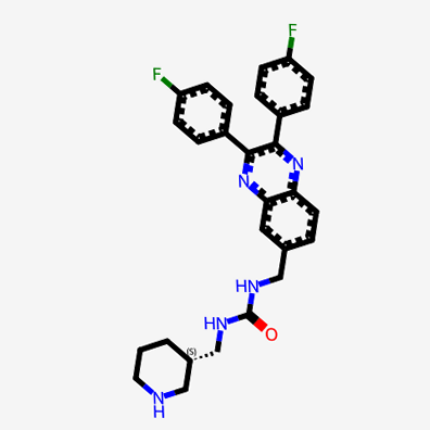 O=C(NCc1ccc2nc(-c3ccc(F)cc3)c(-c3ccc(F)cc3)nc2c1)NC[C@H]1CCCNC1